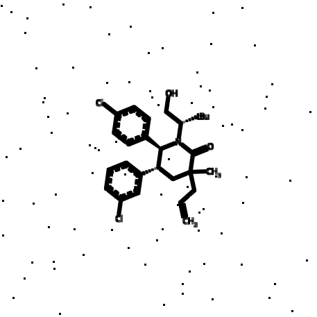 C=CCC1(C)C[C@H](c2cccc(Cl)c2)[C@@H](c2ccc(Cl)cc2)N([C@H](CO)C(C)(C)C)C1=O